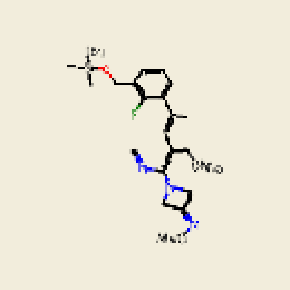 C=N/C(=C(\C=C(/C)c1cccc(CO[Si](C)(C)C(C)(C)C)c1F)COC)N1CC(=NOC)C1